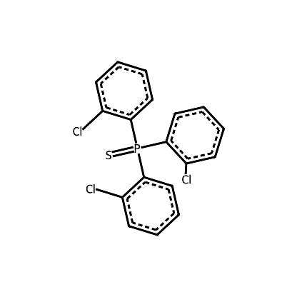 S=P(c1ccccc1Cl)(c1ccccc1Cl)c1ccccc1Cl